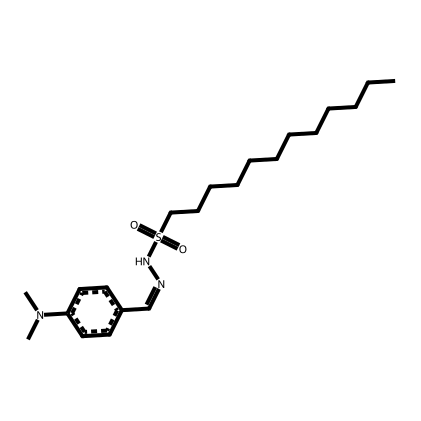 CCCCCCCCCCCCS(=O)(=O)N/N=C\c1ccc(N(C)C)cc1